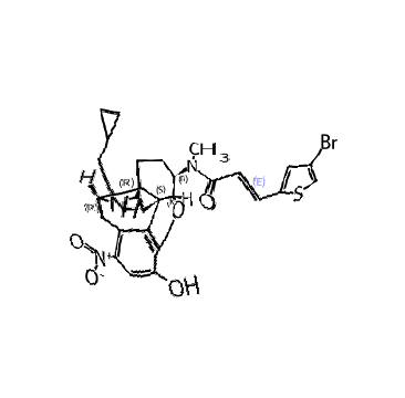 CN(C(=O)/C=C/c1cc(Br)cs1)[C@@H]1CC[C@H]2[C@H]3Cc4c([N+](=O)[O-])cc(O)c5c4[C@@]2(CCN3CC2CC2)[C@H]1O5